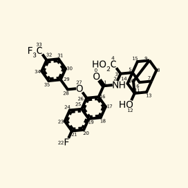 O=C(NC(C(=O)O)C12CC3CC(CC(O)(C3)C1)C2)c1ccc2cc(F)ccc2c1OCc1ccc(C(F)(F)F)cc1